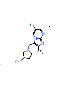 CCCC1CCN(Cc2c(C(F)(F)F)nc3ncc(Cl)cn23)C1